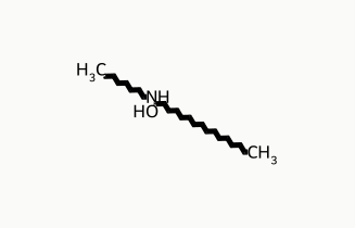 CCCCCCCCCCCCCCCC(O)NCCCCCCCC